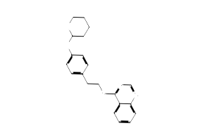 c1ccc2c(NCCc3ccc(OC4CCCCO4)cc3)ncnc2c1